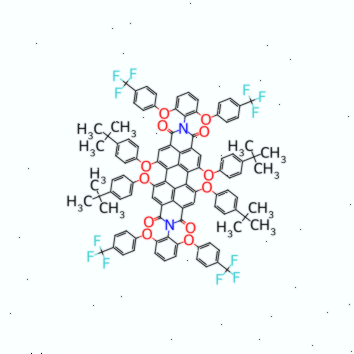 CC(C)(C)c1ccc(Oc2cc3c4c(cc(Oc5ccc(C(C)(C)C)cc5)c5c6c(Oc7ccc(C(C)(C)C)cc7)cc7c8c(cc(Oc9ccc(C(C)(C)C)cc9)c(c2c45)c86)C(=O)N(c2c(Oc4ccc(C(F)(F)F)cc4)cccc2Oc2ccc(C(F)(F)F)cc2)C7=O)C(=O)N(c2c(Oc4ccc(C(F)(F)F)cc4)cccc2Oc2ccc(C(F)(F)F)cc2)C3=O)cc1